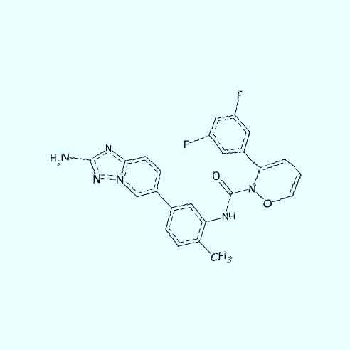 Cc1ccc(-c2ccc3nc(N)nn3c2)cc1NC(=O)N1OC=CC=C1c1cc(F)cc(F)c1